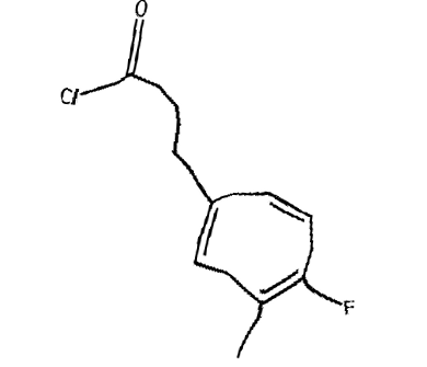 Cc1cc(CCC(=O)Cl)ccc1F